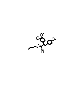 C=CCCCN=C(C#N)/C(=C/c1ccc(OC)cc1)c1ccc(OC)c(OC)c1